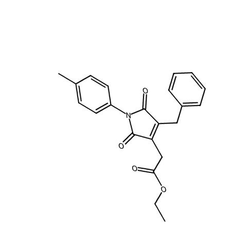 CCOC(=O)CC1=C(Cc2ccccc2)C(=O)N(c2ccc(C)cc2)C1=O